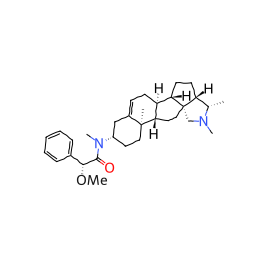 CO[C@@H](C(=O)N(C)[C@H]1CC[C@@]2(C)C(=CC[C@H]3[C@@H]4CC[C@@H]5[C@H](C)N(C)C[C@@]54CC[C@@H]32)C1)c1ccccc1